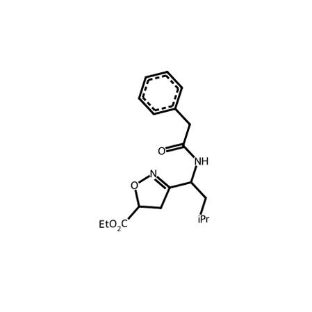 CCOC(=O)C1CC(C(CC(C)C)NC(=O)Cc2ccccc2)=NO1